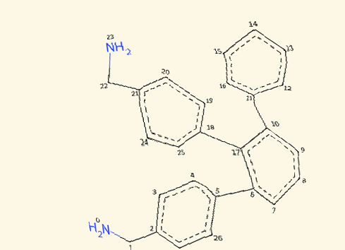 NCc1ccc(-c2cccc(-c3ccccc3)c2-c2ccc(CN)cc2)cc1